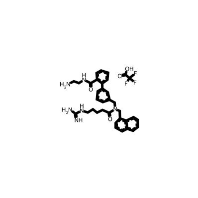 N=C(N)NCCCCC(=O)N(Cc1cccc(-c2ccccc2C(=O)NCCN)c1)Cc1cccc2ccccc12.O=C(O)C(F)(F)F